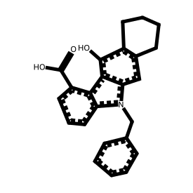 O=C(O)c1cccc2c1c1c(O)c3c(cc1n2Cc1ccccc1)CCCC3